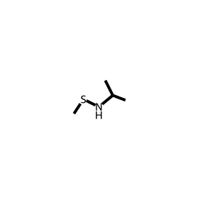 CSNC(C)C